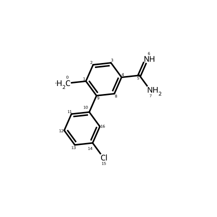 [CH2]c1ccc(C(=N)N)cc1-c1cccc(Cl)c1